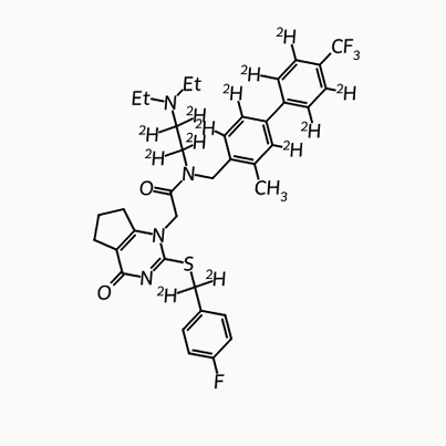 [2H]c1c([2H])c(-c2c([2H])c([2H])c(C(F)(F)F)c([2H])c2[2H])c([2H])c(C)c1CN(C(=O)Cn1c(SC([2H])([2H])c2ccc(F)cc2)nc(=O)c2c1CCC2)C([2H])([2H])C([2H])([2H])N(CC)CC